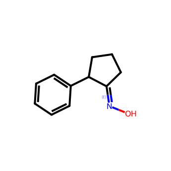 O/N=C1\CCCC1c1ccccc1